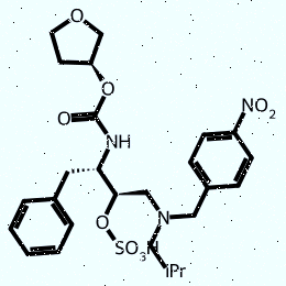 CC(C)CN(Cc1ccc([N+](=O)[O-])cc1)C[C@@H](OS(=O)(=O)O)[C@H](Cc1ccccc1)NC(=O)O[C@H]1CCOC1